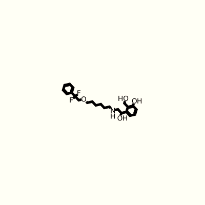 OCc1c(O)cccc1C(O)CNCCCCCCOCC(F)(F)c1ccccc1